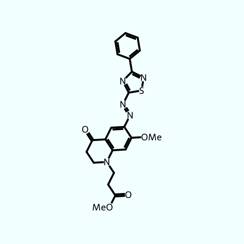 COC(=O)CCN1CCC(=O)c2cc(/N=N/c3nc(-c4ccccc4)ns3)c(OC)cc21